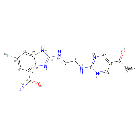 CNC(=O)c1cnc(NCCNc2nc3c(C(N)=O)cc(F)cc3[nH]2)nc1